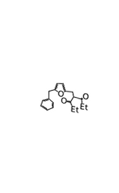 CCC(=O)C(Cc1ccc(Cc2ccccc2)o1)C(=O)CC